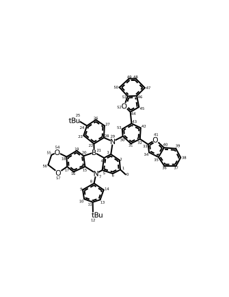 Cc1cc2c3c(c1)N(c1ccc(C(C)(C)C)cc1)c1cc4c(cc1B3c1cc(C(C)(C)C)ccc1N2c1cc(-c2cc3ccccc3o2)cc(-c2cc3ccccc3o2)c1)OCCO4